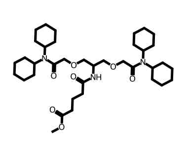 COC(=O)CCCC(=O)NC(COCC(=O)N(C1CCCCC1)C1CCCCC1)COCC(=O)N(C1CCCCC1)C1CCCCC1